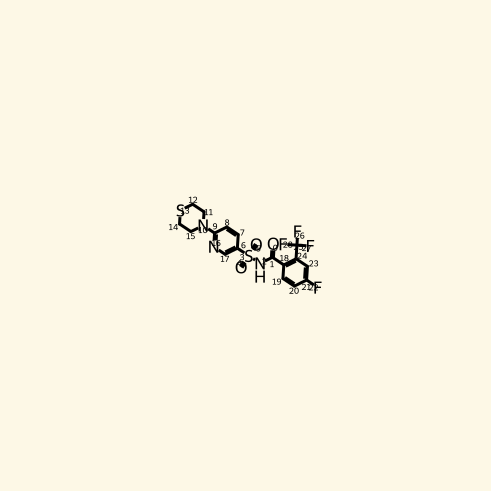 O=C(NS(=O)(=O)c1ccc(N2CCSCC2)nc1)c1ccc(F)cc1C(F)(F)F